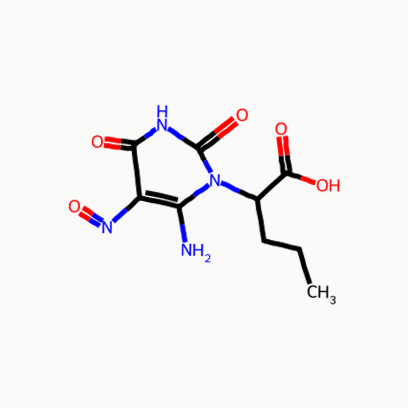 CCCC(C(=O)O)n1c(N)c(N=O)c(=O)[nH]c1=O